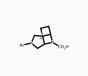 CC(=O)N1CC2N(C(=O)O)C3CC[C@@]32C1